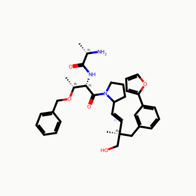 C[C@H](N)C(=O)N[C@H](C(=O)N1CCCC1/C=C/[C@](C)(CO)Cc1cccc(-c2ccco2)c1)[C@@H](C)OCc1ccccc1